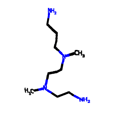 CN(CCN)CCN(C)CCCN